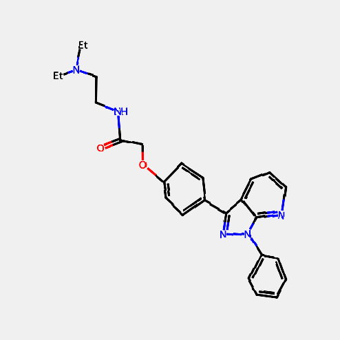 CCN(CC)CCNC(=O)COc1ccc(-c2nn(-c3ccccc3)c3ncccc23)cc1